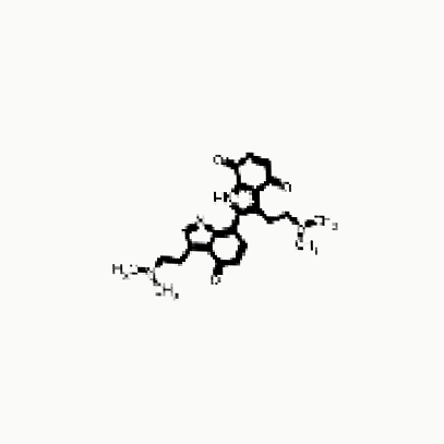 CN(C)CCC1=C2C(=O)C=CC(c3[nH]c4c(c3CCN(C)C)C(=O)C=CC4=O)=C2N=C1